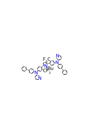 CC(C)(C)n1c(-c2ccc(N(c3ccc(-c4ccccc4)cc3)c3cccnc3)cc2C(F)(F)F)ccc1-c1ccc(N(c2ccc(-c3ccccc3)cc2)c2cccnc2)cc1C(F)(F)F